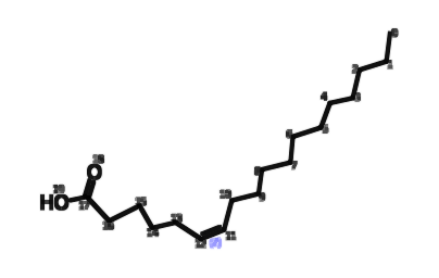 CCCCCCCCCCC/C=C\CCCCC(=O)O